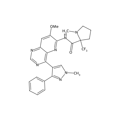 COc1cc2ncnc(-c3cn(C)nc3-c3ccccc3)c2nc1NC(=O)C1(C(F)(F)F)CCCN1C